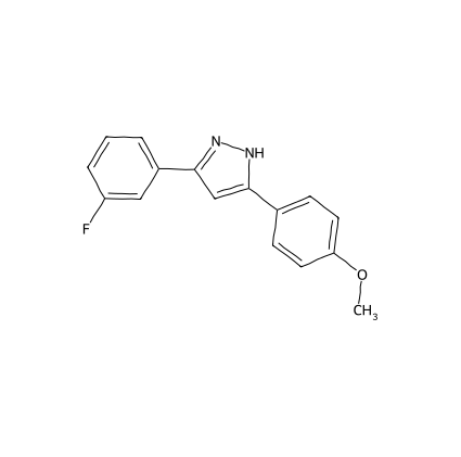 COc1ccc(-c2cc(-c3cccc(F)c3)n[nH]2)cc1